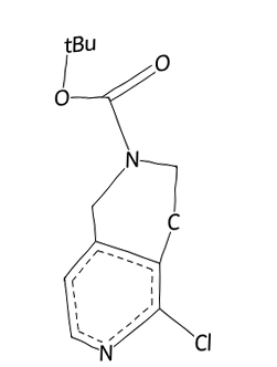 CC(C)(C)OC(=O)N1CCc2c(ccnc2Cl)C1